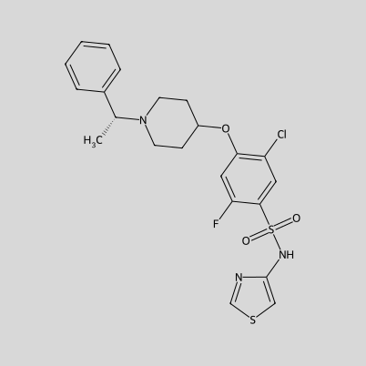 C[C@H](c1ccccc1)N1CCC(Oc2cc(F)c(S(=O)(=O)Nc3cscn3)cc2Cl)CC1